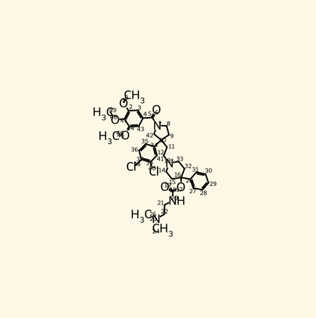 COc1cc(C(=O)N2CCC(CCN3CCC(OC(=O)NCCN(C)C)(c4ccccc4)CC3)(c3ccc(Cl)c(Cl)c3)C2)cc(OC)c1OC